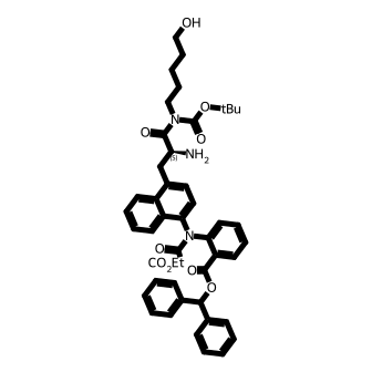 CCOC(=O)C(=O)N(c1ccccc1C(=O)OC(c1ccccc1)c1ccccc1)c1ccc(C[C@H](N)C(=O)N(CCCCCO)C(=O)OC(C)(C)C)c2ccccc12